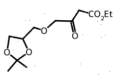 CCOC(=O)CC(=O)COCC1COC(C)(C)O1